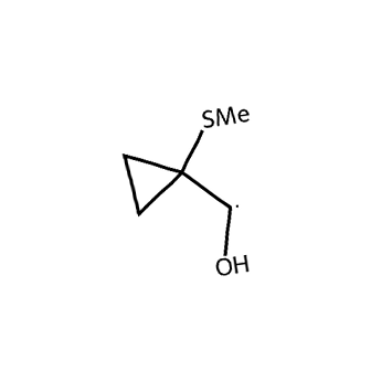 CSC1([CH]O)CC1